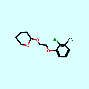 N#Cc1cccc(OCCOC2CCCCO2)c1Br